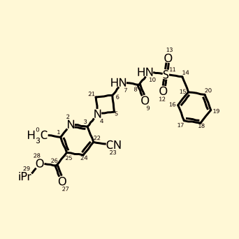 Cc1nc(N2CC(NC(=O)NS(=O)(=O)Cc3ccccc3)C2)c(C#N)cc1C(=O)OC(C)C